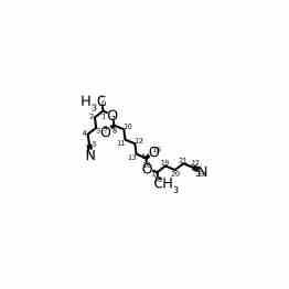 CC(CCCC#N)OC(=O)CCCCC(=O)OC(C)CCCC#N